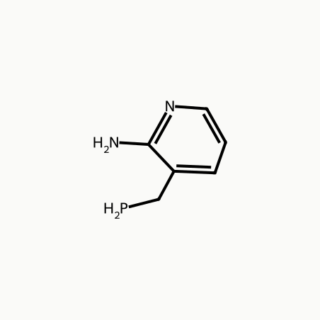 Nc1ncccc1CP